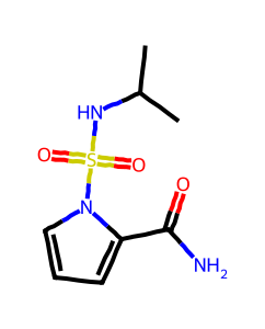 CC(C)NS(=O)(=O)n1cccc1C(N)=O